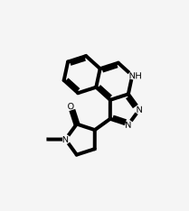 CN1CCC(c2nnc3[nH]cc4ccccc4c2-3)C1=O